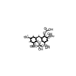 CC(C)(C)c1cc(Cc2cc(C(C)(C)C)cc(C(C)(C)C)c2OP(=O)(O)O)c(OP(=O)(O)O)c(C(C)(C)C)c1.[LiH]